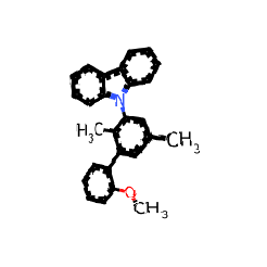 COc1ccccc1-c1cc(C)cc(-n2c3ccccc3c3ccccc32)c1C